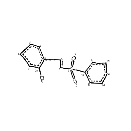 O=S(=O)(/C=C/c1ccccc1Cl)c1ccccc1